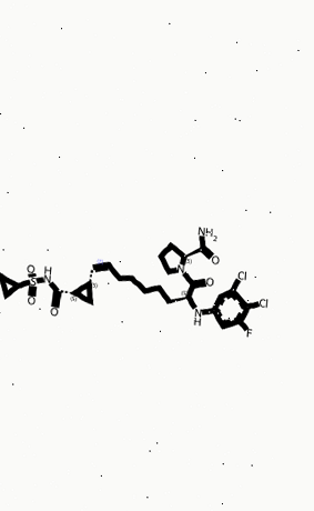 NC(=O)[C@@H]1CCCN1C(=O)[C@H](CCCCC/C=C\[C@@H]1C[C@@H]1C(=O)NS(=O)(=O)C1CC1)Nc1cc(F)c(Cl)c(Cl)c1